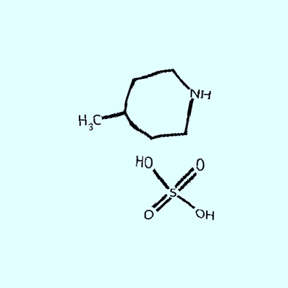 CC1CCNCC1.O=S(=O)(O)O